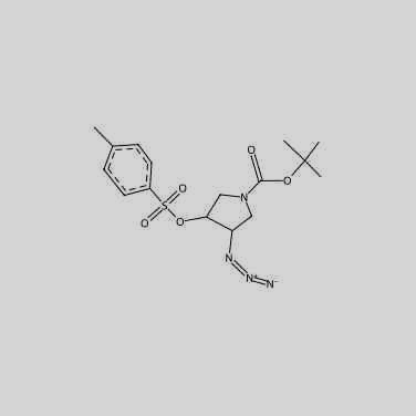 Cc1ccc(S(=O)(=O)OC2CN(C(=O)OC(C)(C)C)CC2N=[N+]=[N-])cc1